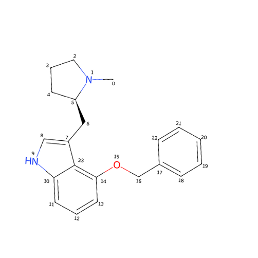 CN1CCC[C@@H]1Cc1c[nH]c2cccc(OCc3ccccc3)c12